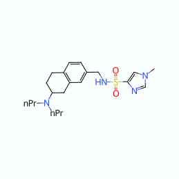 CCCN(CCC)C1CCc2ccc(CNS(=O)(=O)c3cn(C)cn3)cc2C1